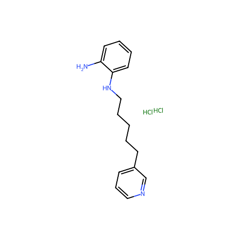 Cl.Cl.Nc1ccccc1NCCCCCc1cccnc1